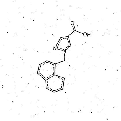 O=C(O)c1cnn(Cc2cccc3ccccc23)c1